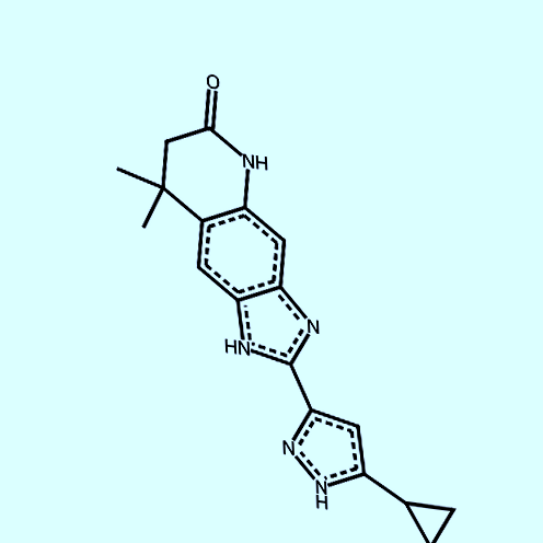 CC1(C)CC(=O)Nc2cc3nc(-c4cc(C5CC5)[nH]n4)[nH]c3cc21